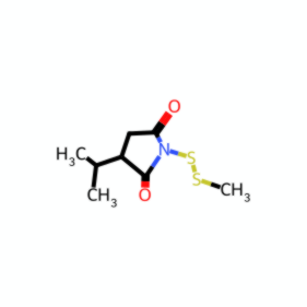 CSSN1C(=O)CC(C(C)C)C1=O